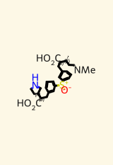 CNCC[C@@H](C)[C@H](Cc1cccc([S+]([O-])c2cccc(C[C@H](C(=O)O)[C@H]3CCNC3)c2)c1)C(=O)O